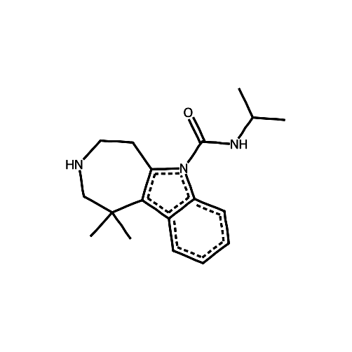 CC(C)NC(=O)n1c2c(c3ccccc31)C(C)(C)CNCC2